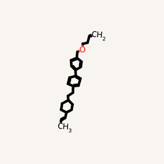 C=CCCOCc1ccc(-c2ccc(CCC3CCC(/C=C/C)CC3)cc2)cc1